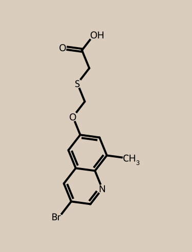 Cc1cc(OCSCC(=O)O)cc2cc(Br)cnc12